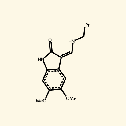 COc1cc2c(cc1OC)C(=CNCC(C)C)C(=O)N2